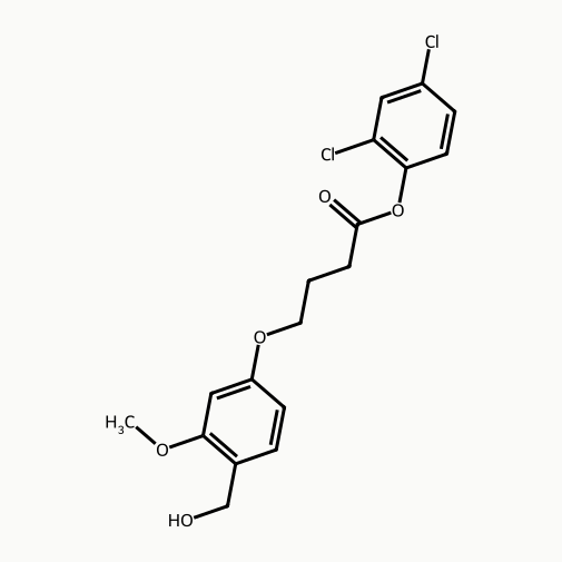 COc1cc(OCCCC(=O)Oc2ccc(Cl)cc2Cl)ccc1CO